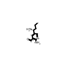 CCC[C@@H](N)c1cnc(N)c(C=O)c1